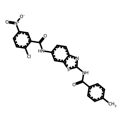 Cc1ccc(C(=O)Nc2nc3ccc(NC(=O)c4cc([N+](=O)[O-])ccc4Cl)cc3s2)cc1